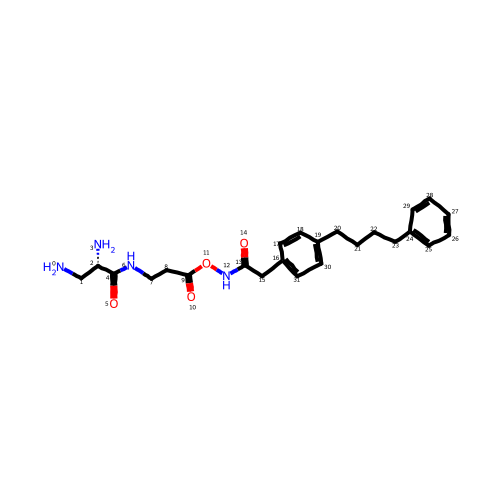 NC[C@H](N)C(=O)NCCC(=O)ONC(=O)Cc1ccc(CCCCc2ccccc2)cc1